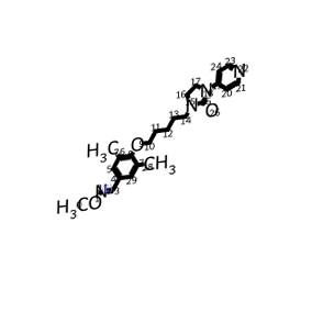 CO/N=C/c1cc(C)c(OCCCCCN2CCN(c3ccncc3)C2=O)c(C)c1